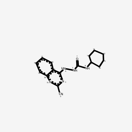 N#Cc1nc(NNC(=O)NC2CCCCC2)c2ccccc2n1